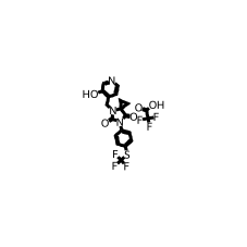 O=C(O)C(F)(F)F.O=C1N(c2ccc(SC(F)(F)F)cc2)C(=O)C2(CC2)N1Cc1ccncc1O